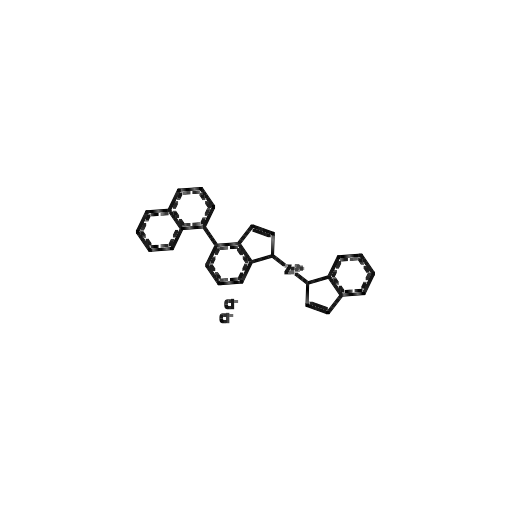 C1=C[CH]([Zr+2][CH]2C=Cc3c(-c4cccc5ccccc45)cccc32)c2ccccc21.[Cl-].[Cl-]